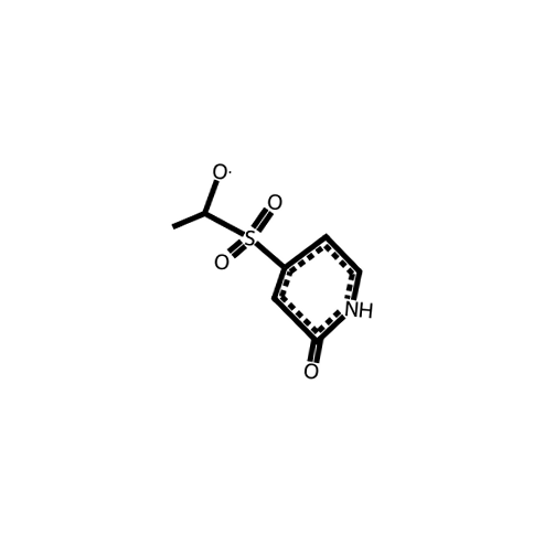 CC([O])S(=O)(=O)c1cc[nH]c(=O)c1